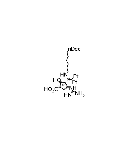 CCCCCCCCCCCCCCCCN[C@@H](C(CC)CC)[C@H]1[C@H](O)[C@@H](C(=O)O)C[C@H]1NC(=N)N